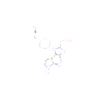 N#CC[C@H]1CC[C@H](n2c(CO)nc3cnc4[nH]ccc4c32)CC1